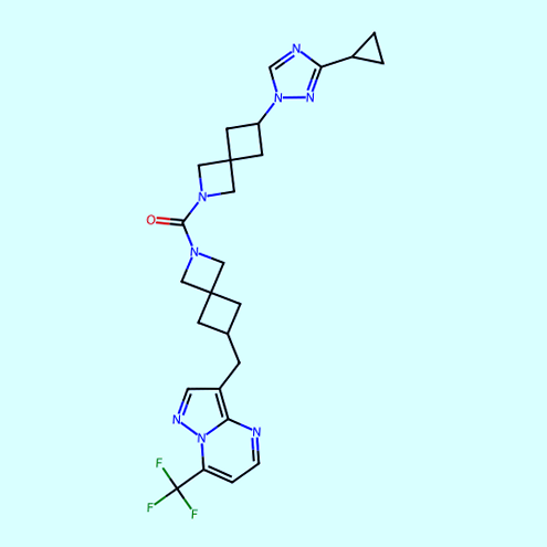 O=C(N1CC2(CC(Cc3cnn4c(C(F)(F)F)ccnc34)C2)C1)N1CC2(CC(n3cnc(C4CC4)n3)C2)C1